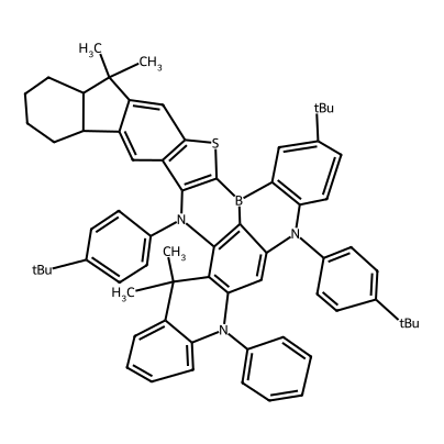 CC(C)(C)c1ccc(N2c3ccc(C(C)(C)C)cc3B3c4sc5cc6c(cc5c4N(c4ccc(C(C)(C)C)cc4)c4c3c2cc2c4C(C)(C)c3ccccc3N2c2ccccc2)C2CCCCC2C6(C)C)cc1